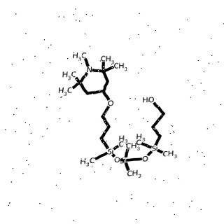 CN1C(C)(C)CC(OCCC[Si](C)(C)O[Si](C)(C)O[Si](C)(C)CCCO)CC1(C)C